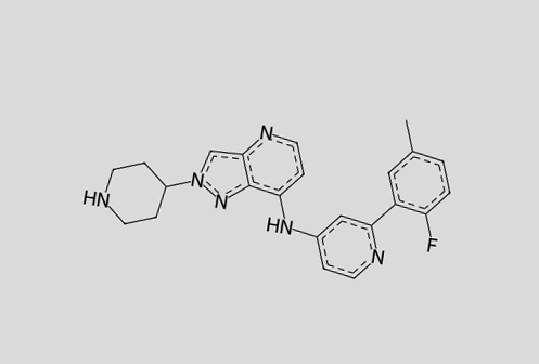 Cc1ccc(F)c(-c2cc(Nc3ccnc4cn(C5CCNCC5)nc34)ccn2)c1